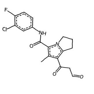 Cc1c(C(=O)CC=O)c2n(c1C(=O)Nc1ccc(F)c(Cl)c1)CCC2